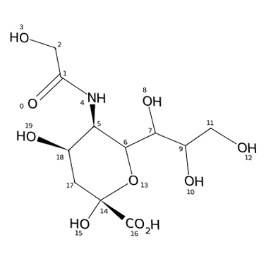 O=C(CO)N[C@H]1C(C(O)C(O)CO)O[C@@](O)(C(=O)O)C[C@H]1O